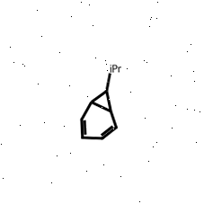 CC(C)C1C2C=CC=CC21